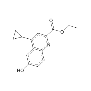 CCOC(=O)c1cc(C2CC2)c2cc(O)ccc2n1